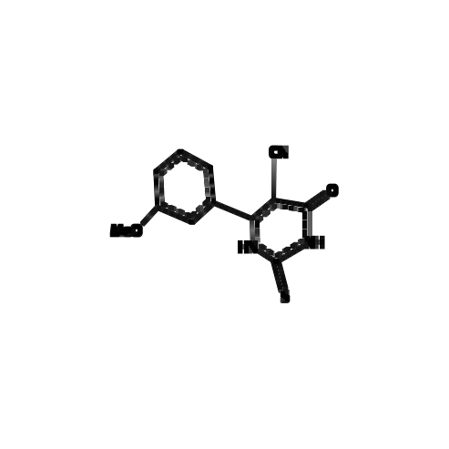 COc1cccc(-c2[nH]c(=S)[nH]c(=O)c2C#N)c1